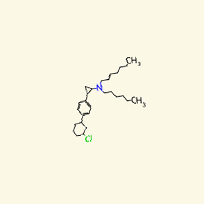 CCCCCCCN(CCCCCC)C1CC1c1ccc(C2CCCC(Cl)C2)cc1